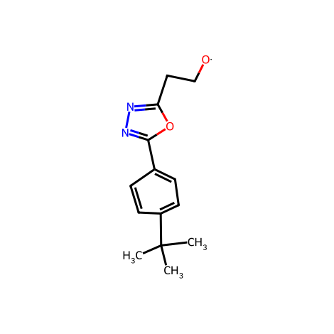 CC(C)(C)c1ccc(-c2nnc(CC[O])o2)cc1